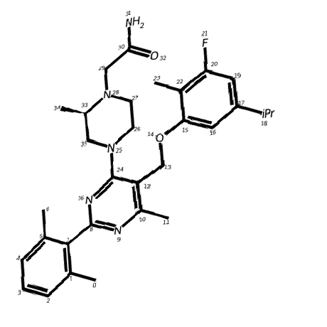 Cc1cccc(C)c1-c1nc(C)c(COc2cc(C(C)C)cc(F)c2C)c(N2CCN(CC(N)=O)[C@H](C)C2)n1